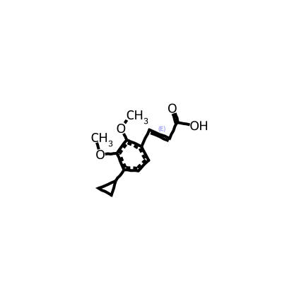 COc1c(/C=C/C(=O)O)ccc(C2CC2)c1OC